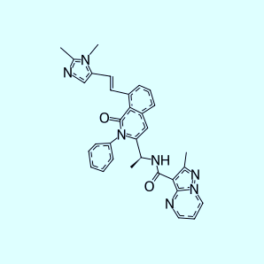 Cc1nn2cccnc2c1C(=O)N[C@@H](C)c1cc2cccc(/C=C/c3cnc(C)n3C)c2c(=O)n1-c1ccccc1